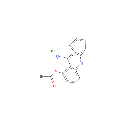 CCC(=O)Oc1cccc2nc3ccccc3c(N)c12.Cl